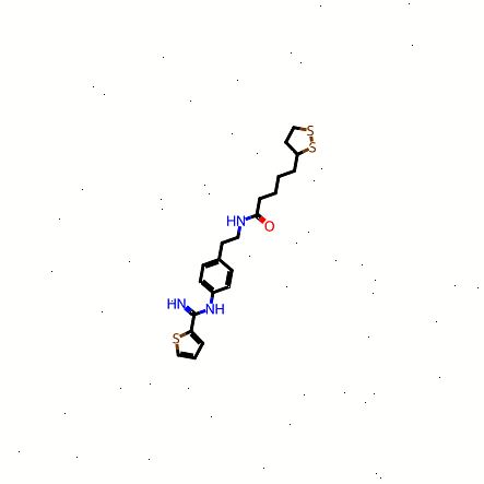 N=C(Nc1ccc(CCNC(=O)CCCCC2CCSS2)cc1)c1cccs1